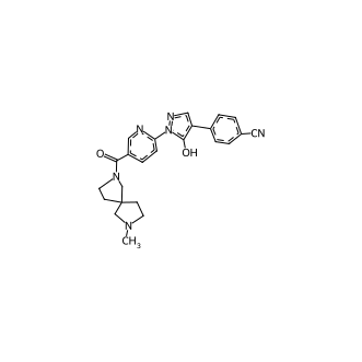 CN1CCC2(CCN(C(=O)c3ccc(-n4ncc(-c5ccc(C#N)cc5)c4O)nc3)C2)C1